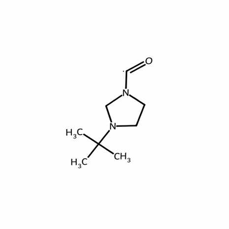 CC(C)(C)N1CCN([C]=O)C1